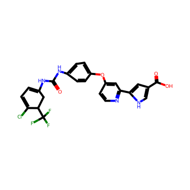 O=C(NC1=CC=C(Cl)C(C(F)(F)F)C1)Nc1ccc(Oc2ccnc(-c3cc(C(=O)O)c[nH]3)c2)cc1